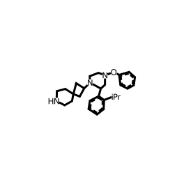 CC(C)c1ccccc1C1CN(Oc2ccccc2)CCN1C1CC2(CCNCC2)C1